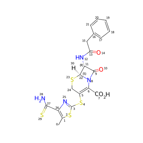 Cc1sc(SC2=C(C(=O)O)N3C(=O)[C@@H](NC(=O)Cc4ccccc4)[C@@H]3SC2)nc1C(N)=S